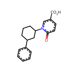 O=C(O)c1ccc(=O)n(C2CCCC(c3ccccc3)C2)c1